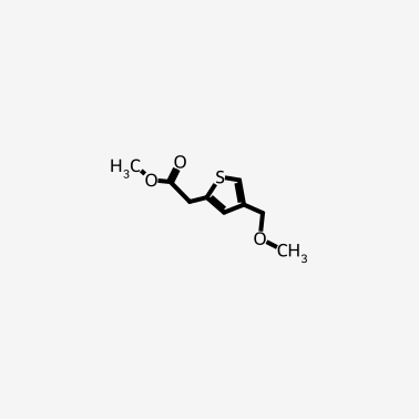 COCc1csc(CC(=O)OC)c1